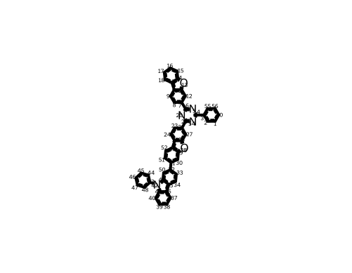 c1ccc(-c2nc(-c3ccc4c(c3)oc3ccccc34)nc(-c3ccc4c(c3)oc3cc(-c5ccc6c7ccccc7n(-c7ccccc7)c6c5)ccc34)n2)cc1